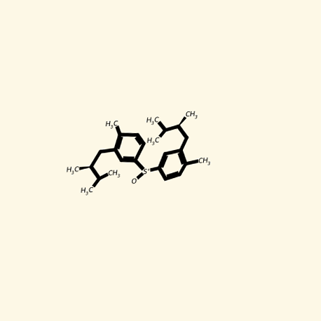 Cc1ccc([S+]([O-])c2ccc(C)c(C[C@H](C)C(C)C)c2)cc1C[C@H](C)C(C)C